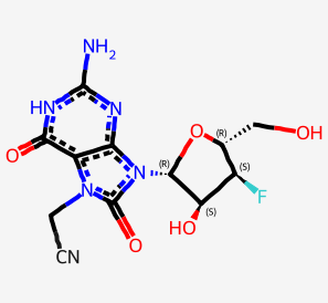 N#CCn1c(=O)n([C@@H]2O[C@H](CO)[C@@H](F)[C@H]2O)c2nc(N)[nH]c(=O)c21